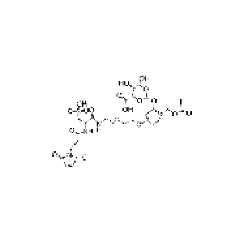 O=C(CCN1C(=O)C=CC1=O)N[C@@H](CS(=O)(=O)O)C(=O)NCCOCCOc1ccc(COC(=O)I)c(O[C@H]2O[C@@H](O)[C@H](O)[C@@H](C(=O)O)O2)c1